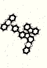 C1=C2C(=C3Oc4ccccc4OC3C1)c1ccc(-c3ccc(N4c5ccccc5Oc5ccccc54)cc3)cc1C21c2ccccc2-c2ccccc21